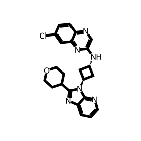 Clc1ccc2ncc(N[C@H]3C[C@H](n4c(C5CCOCC5)nc5cccnc54)C3)nc2c1